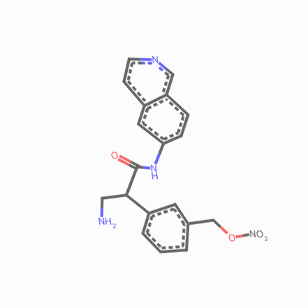 NCC(C(=O)Nc1ccc2cnccc2c1)c1cccc(CO[N+](=O)[O-])c1